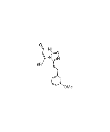 CCCc1cc(=O)[nH]c2nnc(SCc3cccc(OC)c3)n12